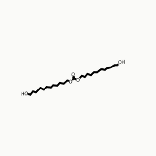 O=C(OCCCCCCCCCCCCO)OCCCCCCCCCCCCO